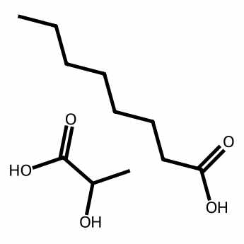 CC(O)C(=O)O.CCCCCCCC(=O)O